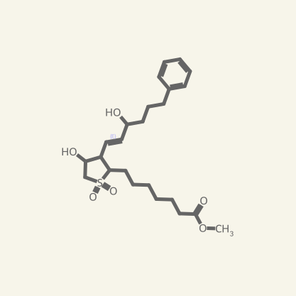 COC(=O)CCCCCCC1C(/C=C/C(O)CCCc2ccccc2)C(O)CS1(=O)=O